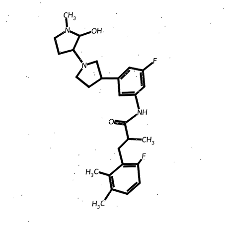 Cc1ccc(F)c(CC(C)C(=O)Nc2cc(F)cc(C3CCN(C4CCN(C)C4O)C3)c2)c1C